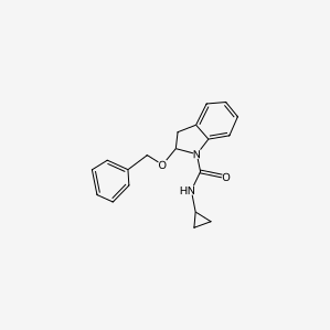 O=C(NC1CC1)N1c2ccccc2CC1OCc1ccccc1